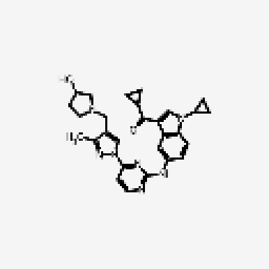 Cc1nn(-c2ccnc(Nc3ccc4c(c3)c(C(=O)C3CC3)cn4C3CC3)n2)cc1CN1CC[C@@H](O)C1